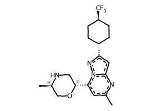 Cc1cc([C@H]2CN[C@H](C)CO2)n2nc([C@H]3CC[C@H](C(F)(F)F)CC3)cc2n1